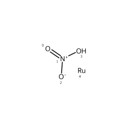 O=[N+]([O-])O.[Ru]